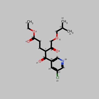 CCOC(=O)CCC(C(=O)COCC(C)C)C(=O)c1cncc(Cl)c1